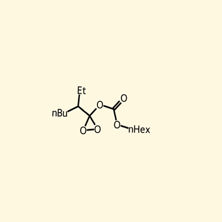 CCCCCCOC(=O)OC1(C(CC)CCCC)OO1